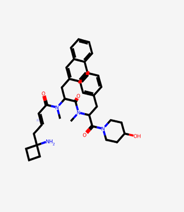 CN(C(=O)/C=C/CC1(N)CCC1)C(Cc1ccc2ccccc2c1)C(=O)N(C)C(Cc1ccccc1)C(=O)N1CCC(O)CC1